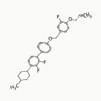 C=CCOc1ccc(COc2ccc(-c3ccc(C4CCC(C)CC4)c(F)c3F)cc2)cc1F